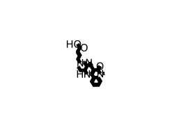 Cn1c(=O)c(C#N)c(NC2CCN(C/C=C/C(=O)O)CC2)c2ccccc21